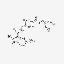 CCc1nc2ccc(OC)cn2c1C(=O)NCc1ccc(NCCN(C=N)SC(F)(F)F)cc1